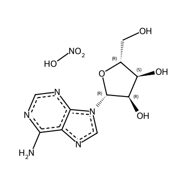 Nc1ncnc2c1ncn2[C@@H]1O[C@H](CO)[C@@H](O)[C@H]1O.O=[N+]([O-])O